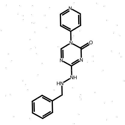 O=c1nc(NNCc2ccccc2)ncn1-c1ccncc1